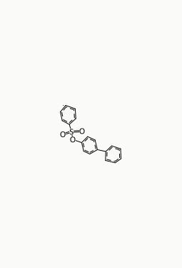 O=S(=O)(Oc1ccc(-c2ccccc2)cc1)c1cc[c]cc1